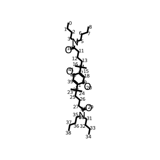 CCCCN(CCCC)C(=O)CCCC(C)(C)C1=CC(=O)C(C(C)(C)CCCC(=O)N(CCCC)CCCC)=CC1=O